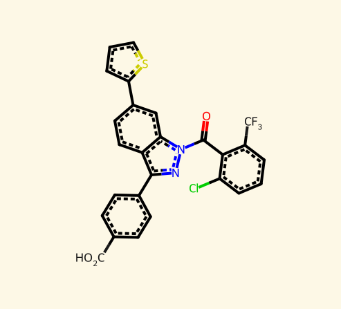 O=C(O)c1ccc(-c2nn(C(=O)c3c(Cl)cccc3C(F)(F)F)c3cc(-c4cccs4)ccc23)cc1